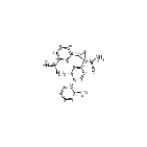 N#Cc1ccccc1-c1ccc(C2(C(N)=O)CC2c2cccc(C(=N)N)c2)cc1